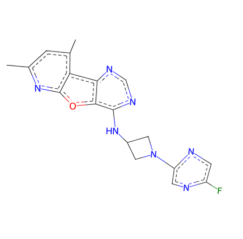 Cc1cc(C)c2c(n1)oc1c(NC3CN(c4cnc(F)cn4)C3)ncnc12